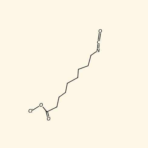 O=C=NCCCCCCCCC(=O)OCl